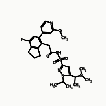 COc1cc(-c2cc(F)c3c(c2CC(=O)NS(=O)(=O)c2cc(C(C)N(C)C)n(C(C)C)n2)CCC3)ccn1